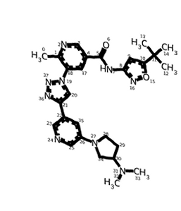 Cc1ncc(C(=O)Nc2cc(C(C)(C)C)on2)cc1-n1cc(-c2cncc(N3CCC(N(C)C)C3)c2)nn1